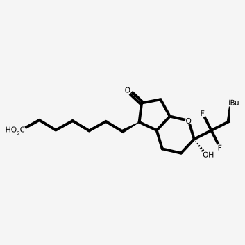 CC[C@H](C)CC(F)(F)[C@@]1(O)CCC2C(CC(=O)[C@@H]2CCCCCCC(=O)O)O1